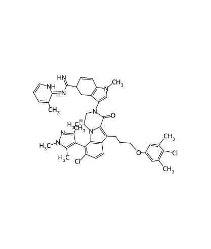 Cc1cc(OCCCc2c3n(c4c(-c5c(C)nn(C)c5C)c(Cl)ccc24)[C@H](C)CN(c2cn(C)c4c2CC(C(=N)/N=c2\[nH]cccc2C)C=C4)C3=O)cc(C)c1Cl